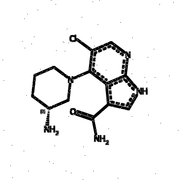 NC(=O)c1c[nH]c2ncc(Cl)c(N3CCC[C@@H](N)C3)c12